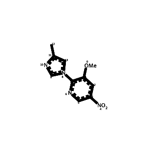 COc1cc([N+](=O)[O-])cnc1-n1cnc(C)c1